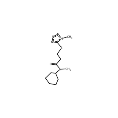 CN(C(=O)CCSc1nnnn1C)C1CCCCC1